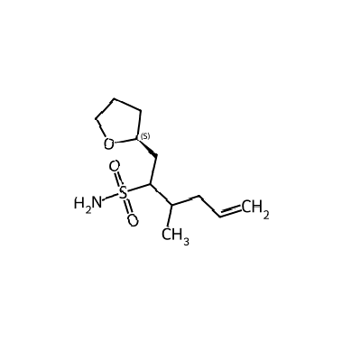 C=CCC(C)C(C[C@@H]1CCCO1)S(N)(=O)=O